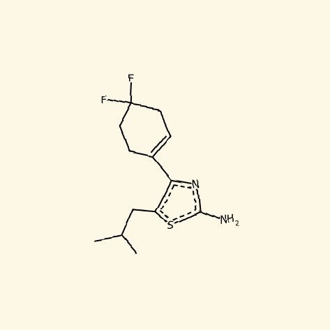 CC(C)Cc1sc(N)nc1C1=CCC(F)(F)CC1